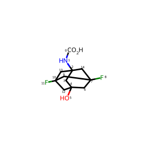 O=C(O)NC12CC3(O)CC(F)(CC(F)(C3)C1)C2